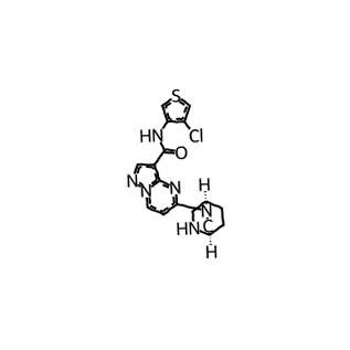 O=C(Nc1cscc1Cl)c1cnn2ccc(N3C[C@H]4CC[C@@H]3CN4)nc12